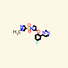 Cn1cc(S(=O)(=O)N2CCC(Oc3ccc(F)cc3-c3ccncn3)C2)cn1